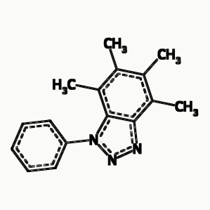 Cc1c(C)c(C)c2c(nnn2-c2ccccc2)c1C